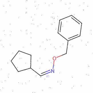 [C](=N/OCc1ccccc1)/C1CCCC1